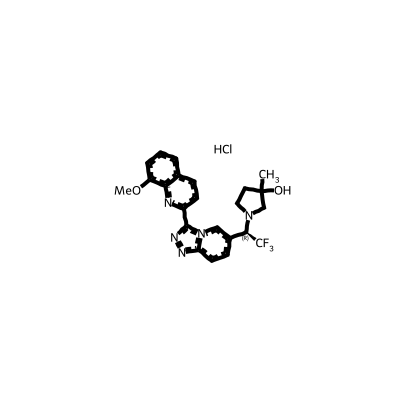 COc1cccc2ccc(-c3nnc4ccc([C@@H](N5CCC(C)(O)C5)C(F)(F)F)cn34)nc12.Cl